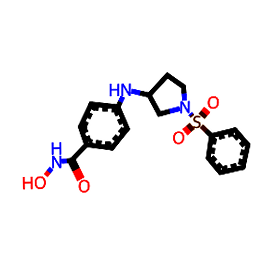 O=C(NO)c1ccc(NC2CCN(S(=O)(=O)c3ccccc3)C2)cc1